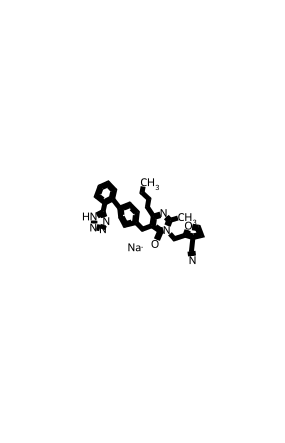 CCCCc1nc(C)n(Cc2occc2C#N)c(=O)c1Cc1ccc(-c2ccccc2-c2nnn[nH]2)cc1.[Na]